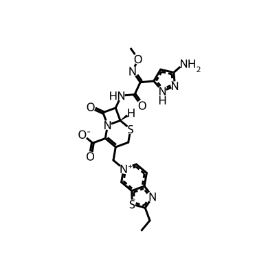 CCc1nc2cc[n+](CC3=C(C(=O)[O-])N4C(=O)C(NC(=O)C(=NOC)c5cc(N)n[nH]5)[C@@H]4SC3)cc2s1